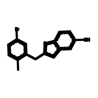 Cc1ccc(Br)cc1Cc1cc2cc(O)ccc2s1